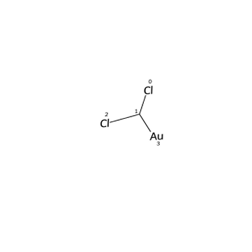 Cl[CH](Cl)[Au]